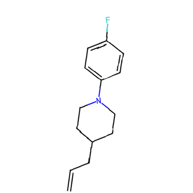 C=CCC1CCN(c2ccc(F)cc2)CC1